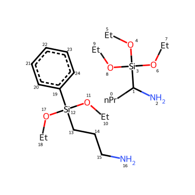 CCCC(N)[Si](OCC)(OCC)OCC.CCO[Si](CCCN)(OCC)c1ccccc1